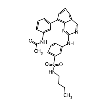 CCCCNS(=O)(=O)c1cccc(Nc2ncc3cccc(-c4cccc(NC(C)=O)c4)c3n2)c1